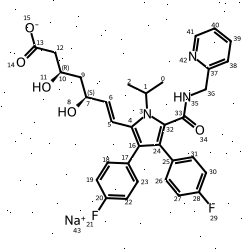 CC(C)n1c(C=C[C@@H](O)C[C@@H](O)CC(=O)[O-])c(-c2ccc(F)cc2)c(-c2ccc(F)cc2)c1C(=O)NCc1ccccn1.[Na+]